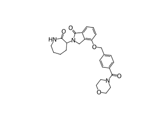 O=C1NCCCCC1N1Cc2c(OCc3ccc(C(=O)N4CCOCC4)cc3)cccc2C1=O